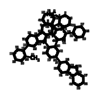 Cc1ccccc1-c1ccc2c3ccc(-c4ccccc4C)cc3n(-c3ccc(-c4ccc5c(c4)sc4ccccc45)cc3-c3nc(-c4ccccc4)nc(-c4ccccc4)n3)c2c1